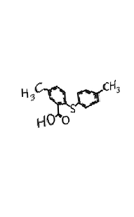 Cc1ccc(Sc2ccc(C)cc2C(=O)O)cc1